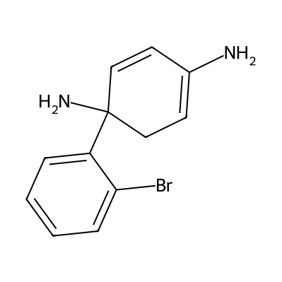 NC1=CCC(N)(c2ccccc2Br)C=C1